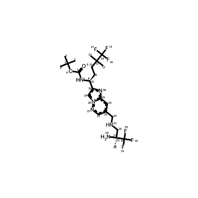 CC(C)(C)OC(=O)N[C@@H](CCC(C)(C)C(F)(F)F)c1cn2ncc(CNC[C@](C)(N)C(F)(F)F)cc2n1